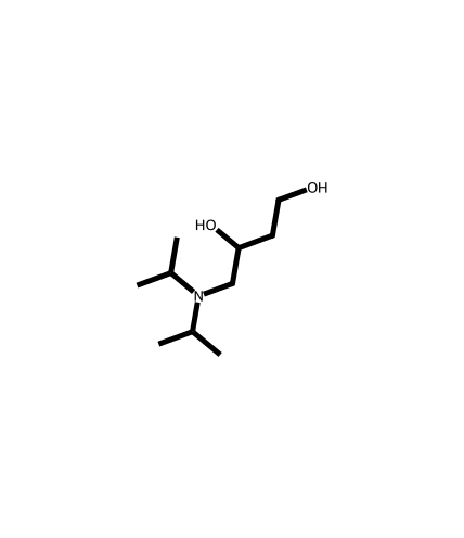 CC(C)N(CC(O)CCO)C(C)C